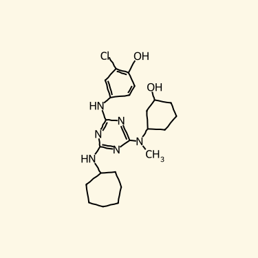 CN(c1nc(Nc2ccc(O)c(Cl)c2)nc(NC2CCCCCC2)n1)C1CCCC(O)C1